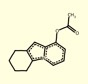 CC(=O)Oc1cccn2c3c(cc12)CCCC3